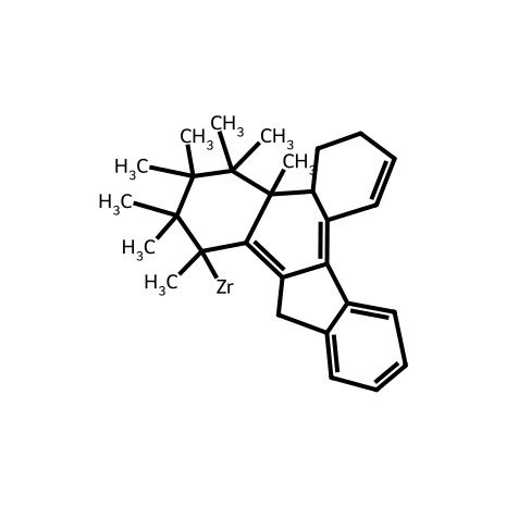 C[C]1([Zr])C2=C3Cc4ccccc4C3=C3C=CCCC3C2(C)C(C)(C)C(C)(C)C1(C)C